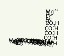 CC(=O)O.CC(=O)O.CC(=O)O.CC(=O)O.CC(=O)O.CC(=O)O.CC(=O)O.CC(=O)O.CC(=O)O.CC(=O)O.CC(=O)O.CC(=O)O.CC(=O)O.CC(=O)O.CC(=O)O.CC(=O)O.CC(=O)[O-].CC(=O)[O-].CC(=O)[O-].CC(=O)[O-].CC(=O)[O-].CC(=O)[O-].[Mg+2].[Mg+2].[Mg+2]